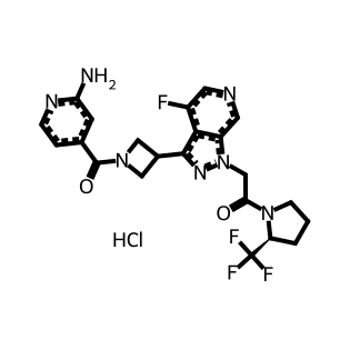 Cl.Nc1cc(C(=O)N2CC(c3nn(CC(=O)N4CCC[C@H]4C(F)(F)F)c4cncc(F)c34)C2)ccn1